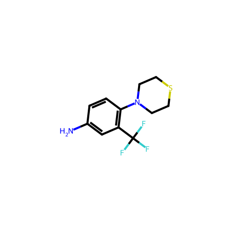 Nc1ccc(N2CCSCC2)c(C(F)(F)F)c1